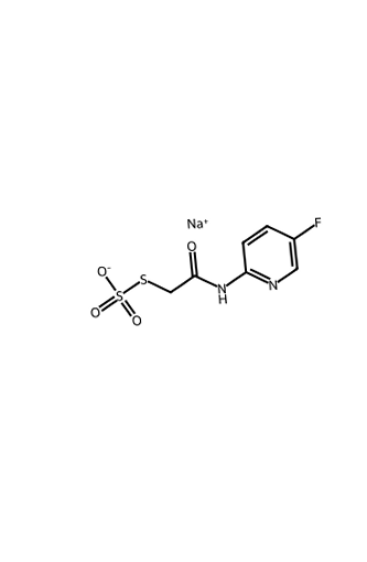 O=C(CSS(=O)(=O)[O-])Nc1ccc(F)cn1.[Na+]